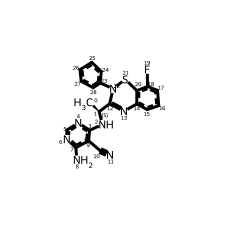 C[C@H](Nc1ncnc(N)c1C#N)C1=Nc2cccc(F)c2SN1c1ccccc1